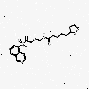 O=C(CCCCC1CCSS1)NCCCNS(=O)(=O)c1cccc2cnccc12